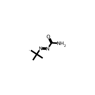 [CH2]C(C)(C)N=NC(N)=O